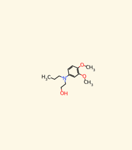 CCCN(CCO)c1ccc(OC)c(OC)c1